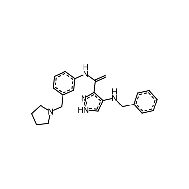 C=C(Nc1cccc(CN2CCCC2)c1)c1n[nH]cc1NCc1ccccc1